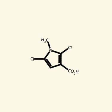 Cn1c(Cl)cc(C(=O)O)c1Cl